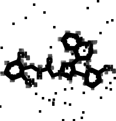 Cc1cccc(-c2nn(CC(=O)NCc3c(C)cccc3C)cc2-c2ccnc3ccccc23)n1